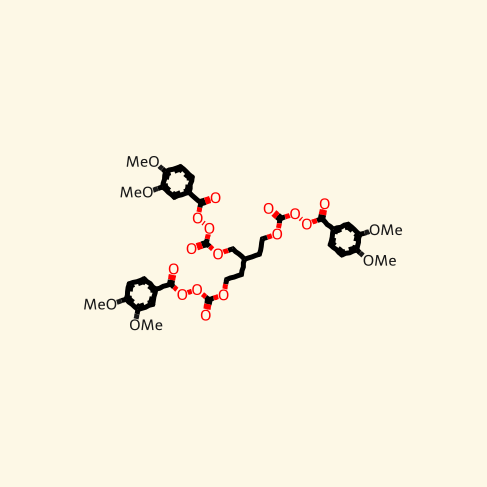 COc1ccc(C(=O)OOC(=O)OCCC(CCOC(=O)OOC(=O)c2ccc(OC)c(OC)c2)COC(=O)OOC(=O)c2ccc(OC)c(OC)c2)cc1OC